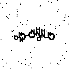 COc1ncc(-c2ccc(NC(=O)NCc3ccccn3)nc2)cn1